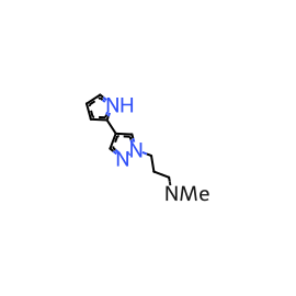 CNCCCn1cc(-c2ccc[nH]2)cn1